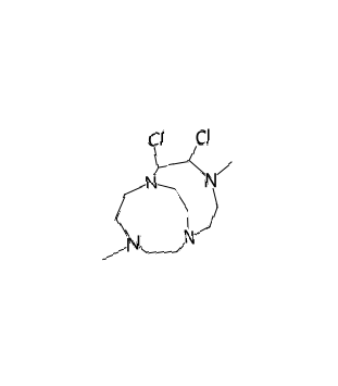 CN1CCN2CCN(C)C(Cl)C(Cl)N(CC1)CC2